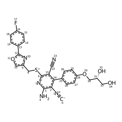 [C-]#[N+]c1c(N)nc(SCc2coc(-c3ccc(F)cc3)n2)c(C#N)c1-c1ccc(OC[C@H](O)CO)cc1